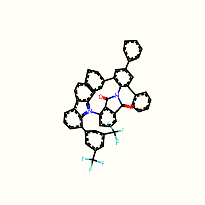 O=C1c2cccc(-n3c4ccccc4c4cccc(-c5cc(C(F)(F)F)cc(C(F)(F)F)c5)c43)c2C(=O)N1c1c(-c2ccccc2)cc(-c2ccccc2)cc1-c1ccccc1